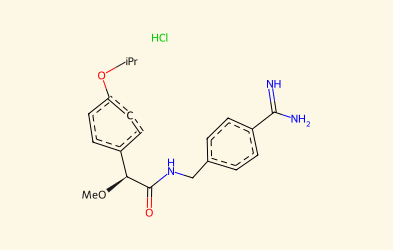 CO[C@H](C(=O)NCc1ccc(C(=N)N)cc1)c1ccc(OC(C)C)cc1.Cl